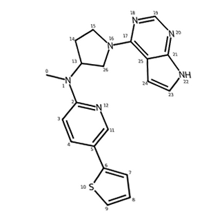 CN(c1ccc(-c2cccs2)cn1)C1CCN(c2ncnc3[nH]ccc23)C1